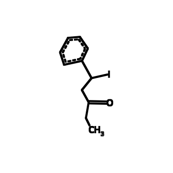 CCC(=O)CC(I)c1ccccc1